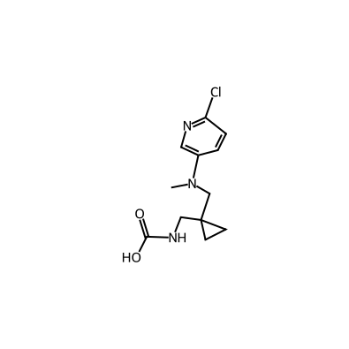 CN(CC1(CNC(=O)O)CC1)c1ccc(Cl)nc1